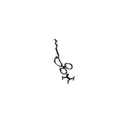 CCCCCCOC(=O)OCC(I)=C(I)I